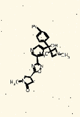 CC(C)c1ccc(C(O)(c2cncc(-c3noc([C@H]4CC(=O)N(C)C4)n3)c2)C2(C)CN(C)C2)cc1